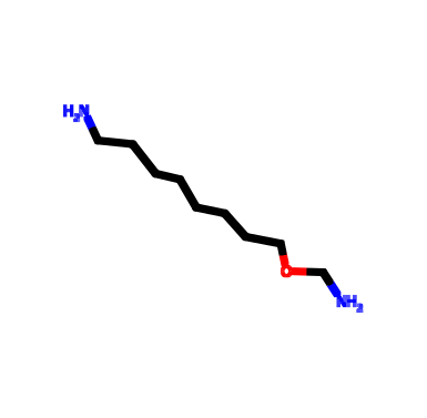 NCCCCCCCCOCN